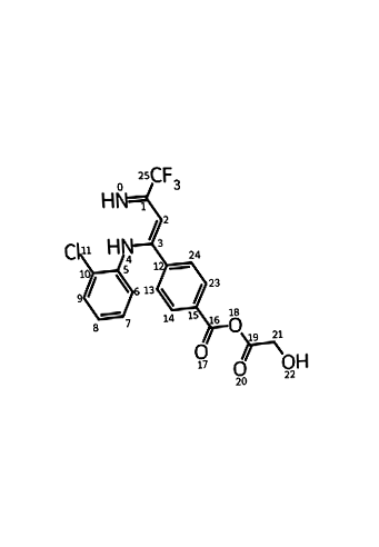 N=C(/C=C(\Nc1ccccc1Cl)c1ccc(C(=O)OC(=O)CO)cc1)C(F)(F)F